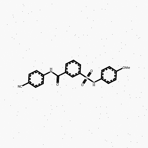 COc1ccc(NS(=O)(=O)c2cccc(C(=O)Nc3ccc(C#N)cc3)c2)cc1